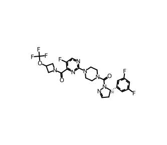 O=C(c1nc(N2CCN(C(=O)N3N=CC[C@H]3c3cc(F)cc(F)c3)CC2)ncc1F)N1CC(OC(F)(F)F)C1